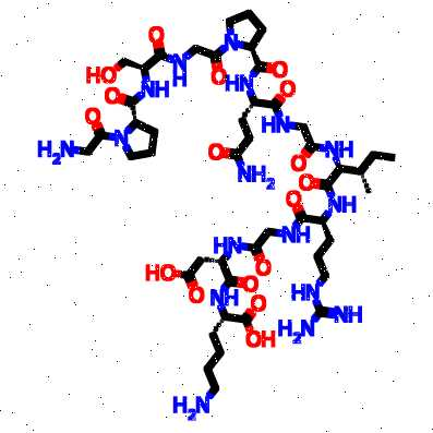 CC[C@H](C)[C@H](NC(=O)CNC(=O)[C@H](CCC(N)=O)NC(=O)[C@@H]1CCCN1C(=O)CNC(=O)[C@H](CO)NC(=O)[C@@H]1CCCN1C(=O)CN)C(=O)N[C@@H](CCCNC(=N)N)C(=O)NCC(=O)N[C@@H](CC(=O)O)C(=O)N[C@@H](CCCCN)C(=O)O